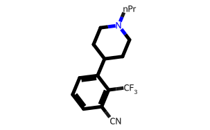 CCCN1CCC(c2cccc(C#N)c2C(F)(F)F)CC1